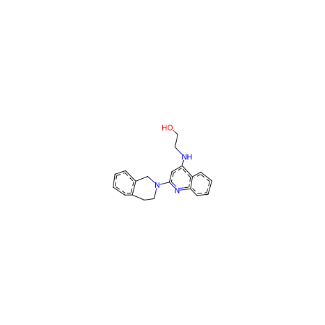 OCCNc1cc(N2CCc3ccccc3C2)nc2ccccc12